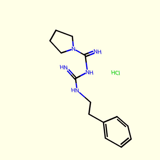 Cl.N=C(NCCc1ccccc1)NC(=N)N1CCCC1